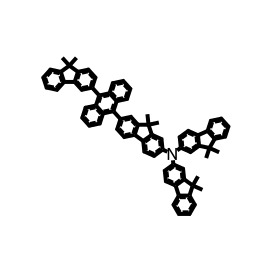 CC1(C)c2ccccc2-c2cc(-c3c4ccccc4c(-c4ccc5c(c4)C(C)(C)c4cc(N(c6ccc7c(c6)C(C)(C)c6ccccc6-7)c6ccc7c(c6)C(C)(C)c6ccccc6-7)ccc4-5)c4ccccc34)ccc21